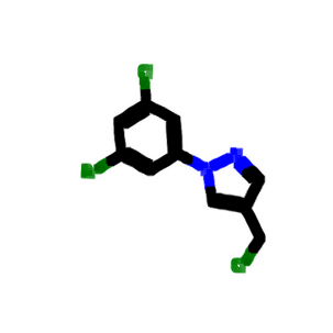 ClCc1cnn(-c2cc(Cl)cc(Br)c2)c1